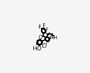 CC1=CC(C)(C)Nc2ccc3c(c21)C(c1cc(F)c(F)c(F)c1)Oc1ccc(O)c(Cl)c1-3